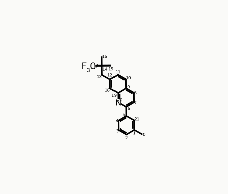 Cc1cccc(-c2ccc3ccc(CC(C)(C)C(F)(F)F)cc3n2)c1